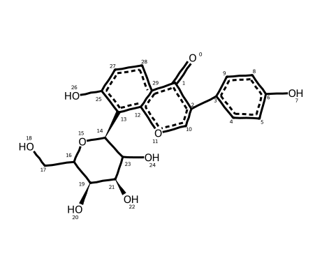 O=c1c(-c2ccc(O)cc2)coc2c([C@@H]3OC(CO)[C@H](O)[C@H](O)C3O)c(O)ccc12